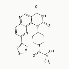 C[C@@H](O)C(=O)N1CCC(n2c(=O)[nH]c(=O)c3cnc4ccc(-c5ccsc5)nc4c32)CC1